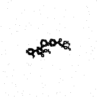 CN(C)CC(=O)c1ccc([C@@H]2CCCN(c3nc(-c4ccncc4F)cc(=O)n3C)C2)cc1